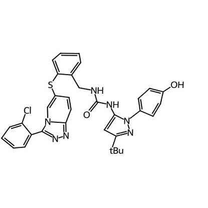 CC(C)(C)c1cc(NC(=O)NCc2ccccc2Sc2ccc3nnc(-c4ccccc4Cl)n3c2)n(-c2ccc(O)cc2)n1